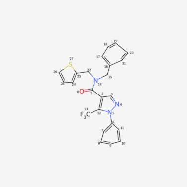 O=C(c1cnn(-c2ccccc2)c1C(F)(F)F)N(Cc1ccccc1)Cc1cccs1